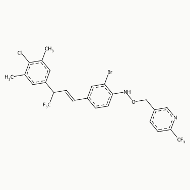 Cc1cc(C(/C=C/c2ccc(NOCc3ccc(C(F)(F)F)nc3)c(Br)c2)C(F)(F)F)cc(C)c1Cl